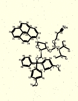 COc1ccc(C(OC[C@H]2O[C@H](c3ccc4ccc5cccc6ccc3c4c56)C[C@@H]2OP(OCCC#N)N(C(C)C)C(C)C)(c2ccccc2)c2ccc(OC)cc2)cc1